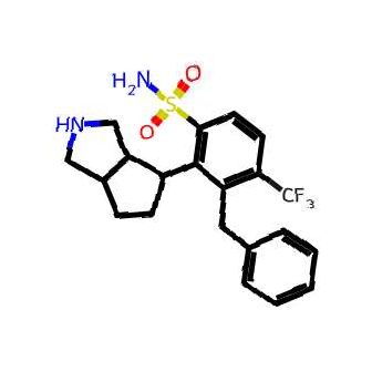 NS(=O)(=O)c1ccc(C(F)(F)F)c(Cc2ccccc2)c1C1CCC2CNCC21